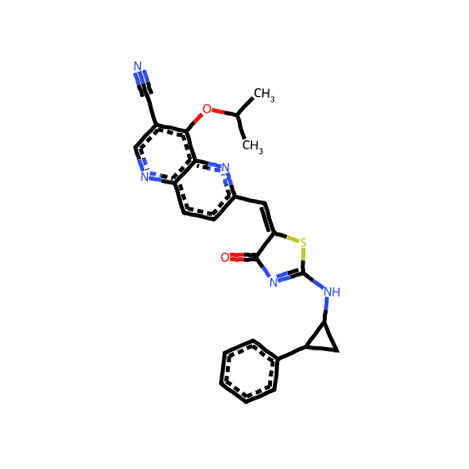 CC(C)Oc1c(C#N)cnc2ccc(C=C3SC(NC4CC4c4ccccc4)=NC3=O)nc12